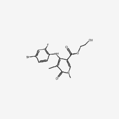 Cc1c(Nc2ccc(Br)cc2F)c(C(=O)OCCO)cn(C)c1=O